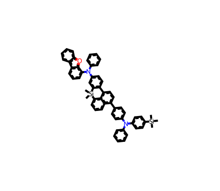 C[Si](C)(C)c1ccc(N(c2ccccc2)c2ccc(-c3ccc4c5c(cccc35)[Si](C)(C)c3cc(N(c5ccccc5)c5cccc6c5oc5ccccc56)ccc3-4)cc2)cc1